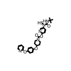 CC(C)(C)NC(=O)N(S)c1ccc(OC(=O)N2CCC(Oc3ccc(Oc4ccccn4)cc3)CC2)nc1